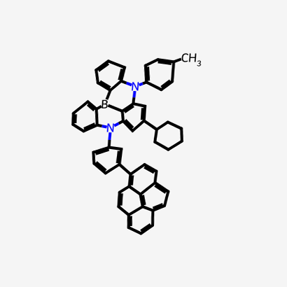 Cc1ccc(N2c3ccccc3B3c4ccccc4N(c4cccc(-c5ccc6ccc7cccc8ccc5c6c78)c4)c4cc(C5CCCCC5)cc2c43)cc1